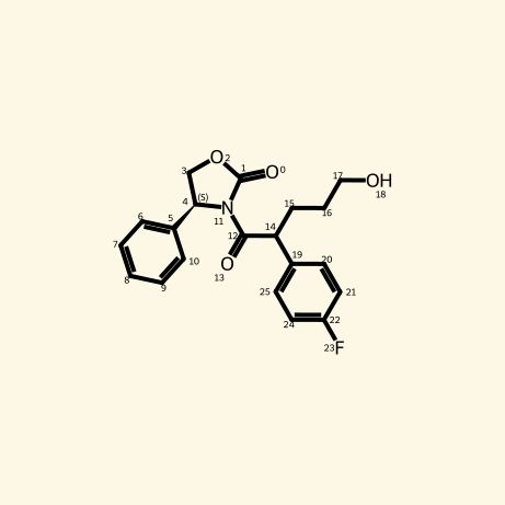 O=C1OC[C@H](c2ccccc2)N1C(=O)C(CCCO)c1ccc(F)cc1